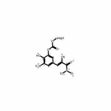 CCCCCCCOC(=O)Oc1cc(/C=C(\C#N)C(=O)N(CC)CC)cc([N+](=O)[O-])c1O